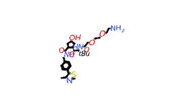 CC1N=CSC1c1ccc(CNC(=O)C2CC(O)C[C@H]2C(=O)C(NC(=O)COCCOCCN)C(C)(C)C)cc1